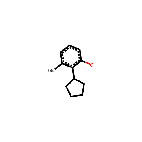 CC(C)(C)c1cccc([O])c1C1CCCC1